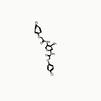 CC(C)c1cc(NC(=O)COc2ccc(Cl)cc2)ncc1NC(=O)COc1ccc(Cl)cc1